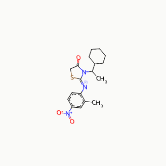 Cc1cc([N+](=O)[O-])ccc1/N=C1\SCC(=O)N1C(C)C1CCCCC1